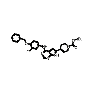 CC(C)(C)OC(=O)N1CC=C(c2cc3c(Nc4ccc(OCc5ccccc5)c(Cl)c4)ncnc3[nH]2)CC1